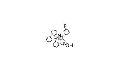 ON1C=Cc2c(c(-c3cccc(F)c3)nn2C(c2ccccc2)(c2ccccc2)c2ccccc2)C1